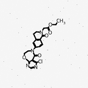 CCOC(=O)CN1CCc2cc(N3CCOc4ncnc(Cl)c4C3=O)ccc2C1=O